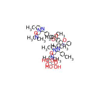 COc1cc2c(cc1OC)C(C)(C)/C(=C/c1ccccc1)C2=O.Cc1ccc(-c2nc3ccc(C)cn3c2CC(=O)N(C)C)cc1.Cc1ccc(-c2nc3ccc(C)cn3c2CC(=O)N(C)C)cc1.O=C(O)C(O)C(O)C(=O)O